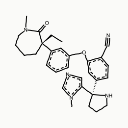 CC[C@@]1(c2cccc(Oc3cc([C@@]4(c5cncn5C)CCCN4)ccc3C#N)c2)CCCCN(C)C1=O